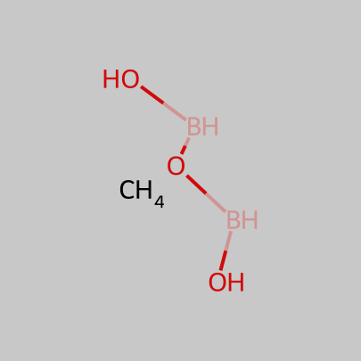 C.OBOBO